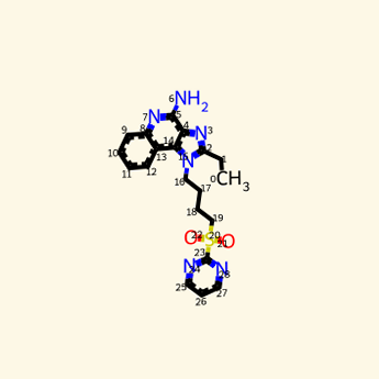 CCc1nc2c(N)nc3ccccc3c2n1CCCCS(=O)(=O)c1ncccn1